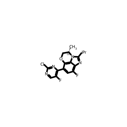 CC(C)c1nc2c(F)cc(-c3nc(Cl)ncc3F)c3c2n1[C@@H](C)CO3